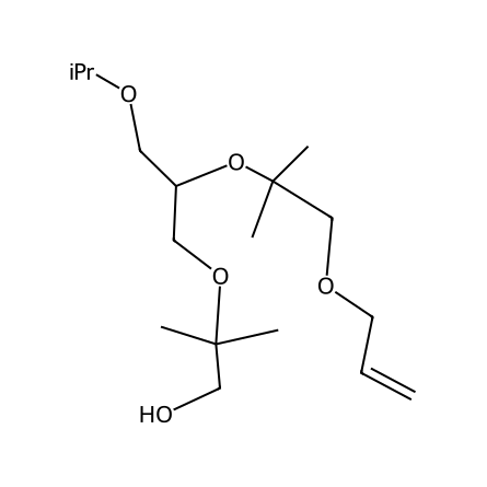 C=CCOCC(C)(C)OC(COC(C)C)COC(C)(C)CO